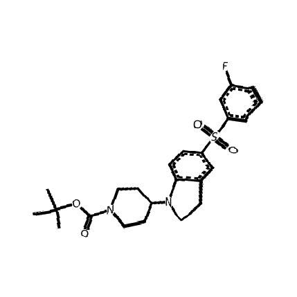 CC(C)(C)OC(=O)N1CCC(N2CCc3cc(S(=O)(=O)c4cccc(F)c4)ccc32)CC1